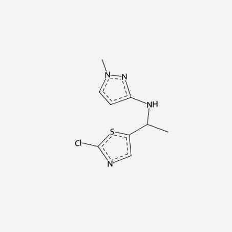 CC(Nc1ccn(C)n1)c1cnc(Cl)s1